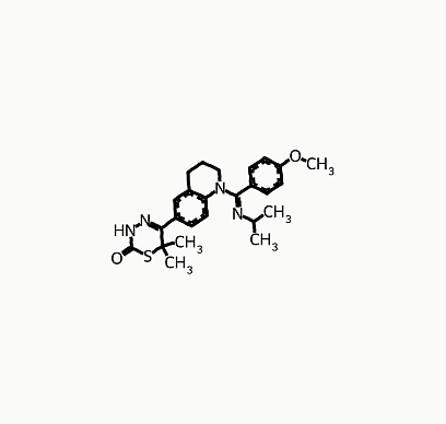 COc1ccc(C(=NC(C)C)N2CCCc3cc(C4=NNC(=O)SC4(C)C)ccc32)cc1